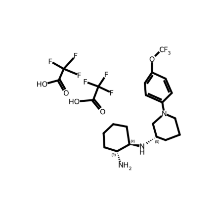 N[C@@H]1CCCC[C@H]1N[C@H]1CCCN(c2ccc(OC(F)(F)F)cc2)C1.O=C(O)C(F)(F)F.O=C(O)C(F)(F)F